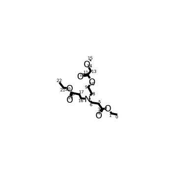 CCOC(=O)CCN(CCOC(=O)COC)CCC(=O)OCC